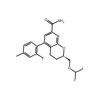 Cc1ccc(-c2cc(C(N)=O)nc3c2CC[C@H](COC(F)F)O3)c(F)c1